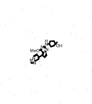 COc1nc(NC2CCC(C)(O)CC2)nn2ccc(-c3ccn4ncnc4c3)c12